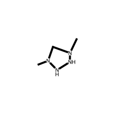 CN1CN(C)NN1